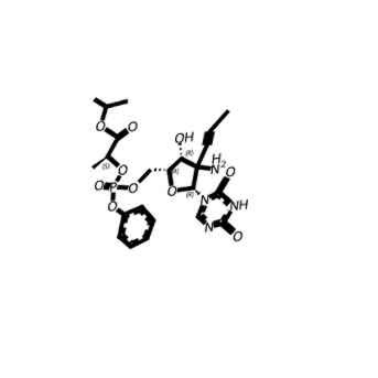 CC#CC1(N)[C@@H](O)[C@@H](COP(=O)(Oc2ccccc2)O[C@@H](C)C(=O)OC(C)C)O[C@H]1n1cnc(=O)[nH]c1=O